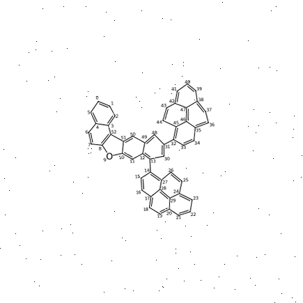 c1ccc2c(c1)ccc1oc3cc4c(-c5ccc6ccc7cccc8ccc5c6c78)cc(-c5ccc6ccc7cccc8ccc5c6c78)cc4cc3c12